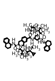 CN[C@@H](C)C(=O)N[C@H](C(=O)N1C[C@@H](NC(=O)c2ccc3c(c2)CN(C(=O)[C@@H](NC(=O)[C@@H](NC)C2CC2)C(C)(C)C)[C@H](C(=O)N[C@@H]2CCCc4ccccc42)C3)C[C@H]1C(=O)N[C@@H]1CCCc2ccccc21)C(C)(C)C